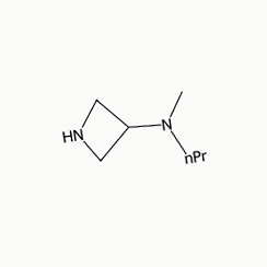 CCCN(C)C1CNC1